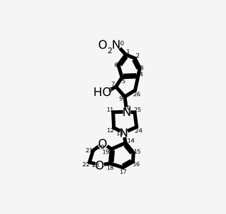 O=[N+]([O-])c1ccc2c(c1)C(O)C(N1CCN(c3cccc4c3OCCO4)CC1)C2